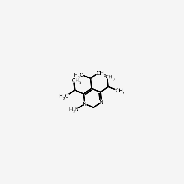 CC(C)C1=NCN(N)C(C(C)C)=C1C(C)C